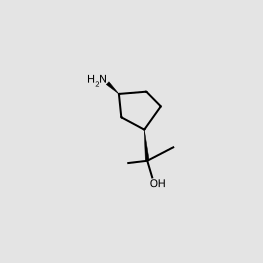 CC(C)(O)[C@@H]1CC[C@H](N)C1